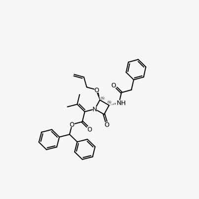 C=CCO[C@H]1[C@H](NC(=O)Cc2ccccc2)C(=O)N1C(C(=O)OC(c1ccccc1)c1ccccc1)=C(C)C